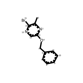 Cc1nc(OCc2ccccc2)cnc1Br